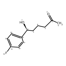 CC(=O)CCC[C@H](O)c1ccc(F)cc1